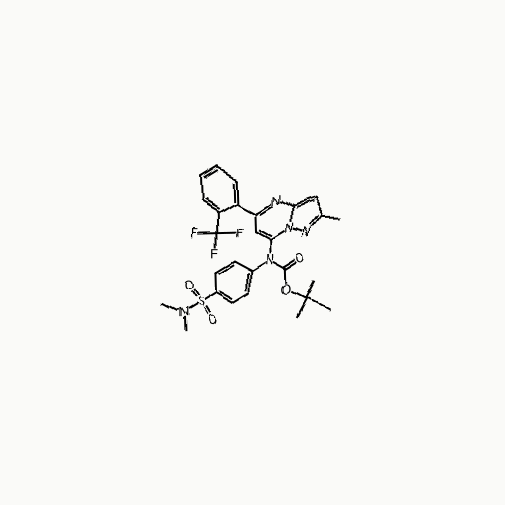 Cc1cc2nc(-c3ccccc3C(F)(F)F)cc(N(C(=O)OC(C)(C)C)c3ccc(S(=O)(=O)N(C)C)cc3)n2n1